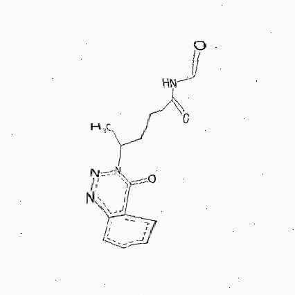 CC(CCC(=O)NC=O)n1nnc2ccccc2c1=O